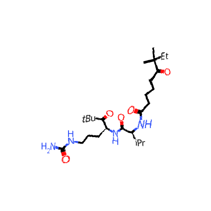 CCC(C)(C)C(=O)CCCCC(=O)N[C@H](C(=O)N[C@@H](CCCNC(N)=O)C(=O)C(C)(C)C)C(C)C